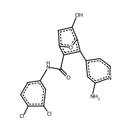 Nc1cc(-c2c(C(=O)Nc3ccc(Cl)c(Cl)c3)c3cc(O)c2o3)ccn1